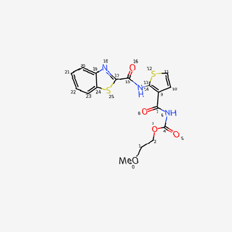 COCCOC(=O)NC(=O)c1ccsc1NC(=O)c1nc2ccccc2s1